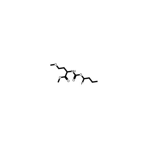 CCCC(F)OC(=O)NC(CCOC)C(=O)OC